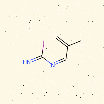 C=C(C)/C=N\C(=N)I